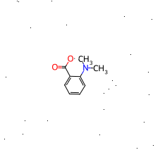 CN(C)c1ccccc1C([O])=O